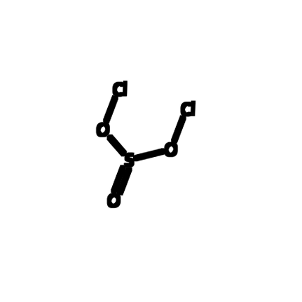 O=S(OCl)OCl